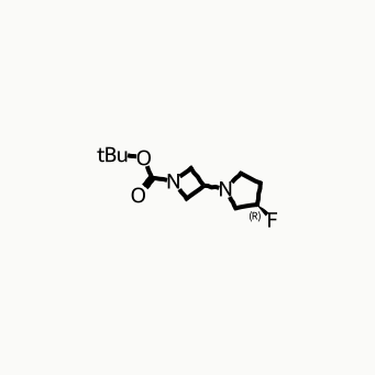 CC(C)(C)OC(=O)N1CC(N2CC[C@@H](F)C2)C1